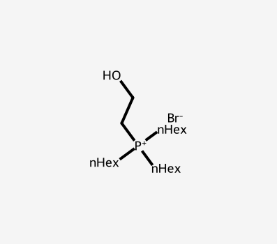 CCCCCC[P+](CCO)(CCCCCC)CCCCCC.[Br-]